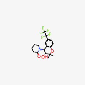 CC1(C)Oc2ccc(C(F)(F)C(F)(F)F)cc2[C@H](N2CCCCC2=O)[C@H]1O